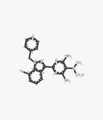 CN(C(=O)O)c1c(N)nc(-c2nn(Cc3ccncc3)c3c(F)cccc23)nc1N